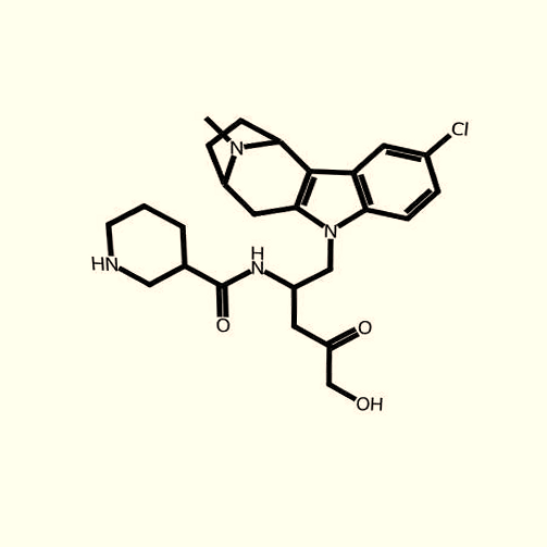 CN1C2CCC1c1c(n(CC(CC(=O)CO)NC(=O)C3CCCNC3)c3ccc(Cl)cc13)C2